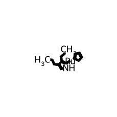 CCCc1c[nH][c]([Ru][C]2=CC=CC2)c1CCC